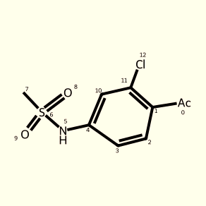 CC(=O)c1ccc(NS(C)(=O)=O)cc1Cl